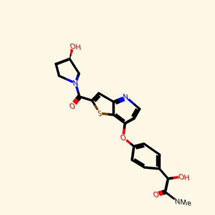 CNC(=O)C(O)c1ccc(Oc2ccnc3cc(C(=O)N4CC[C@@H](O)C4)sc23)cc1